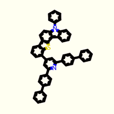 c1ccc(-c2ccc(-c3cc(-c4cccc5c4sc4c5ccc5c4c4ccccc4n5-c4ccccc4)cc(-c4ccc(-c5ccccc5)cc4)n3)cc2)cc1